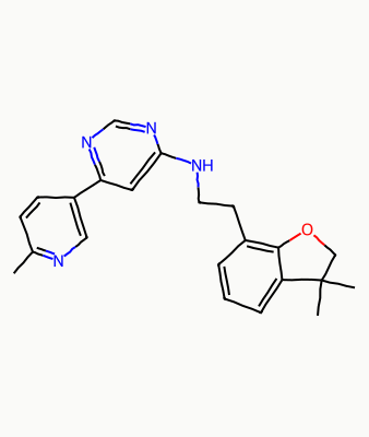 Cc1ccc(-c2cc(NCCc3cccc4c3OCC4(C)C)ncn2)cn1